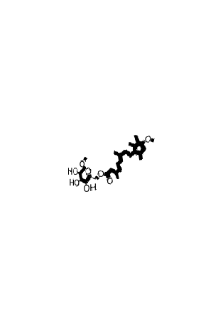 COc1cc(C)c(C=CC(C)=CC=CC(C)=CC(=O)OC[C@H]2O[C@H](OC)[C@H](O)[C@@H](O)[C@@H]2O)c(C)c1C